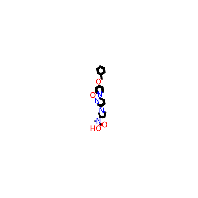 CN(C(=O)O)[C@@H]1CCN(c2ccc(-n3ccc(OCc4ccccc4)cc3=O)nc2)C1